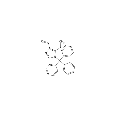 CCc1c(C=O)ncn1C(c1ccccc1)(c1ccccc1)c1ccccc1